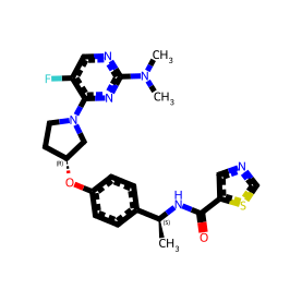 C[C@H](NC(=O)c1cncs1)c1ccc(O[C@@H]2CCN(c3nc(N(C)C)ncc3F)C2)cc1